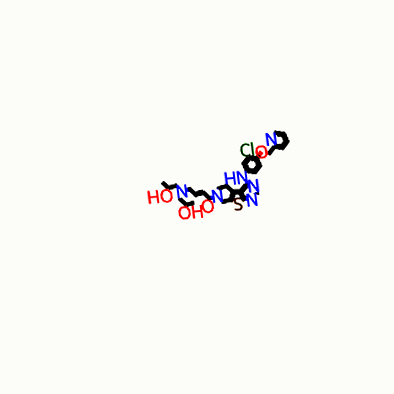 CC(O)CN(CC=CC(=O)N1CCc2c(sc3ncnc(Nc4ccc(OCc5ccccn5)c(Cl)c4)c23)C1)CC(C)O